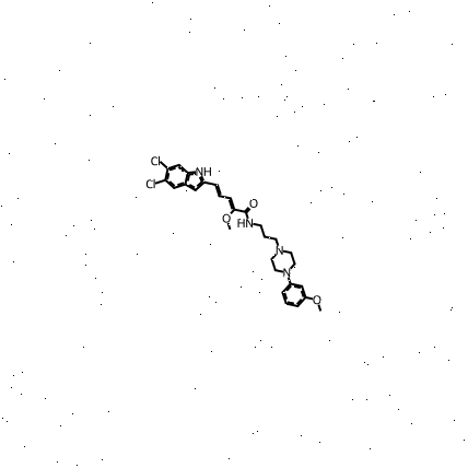 COC(=CC=Cc1cc2cc(Cl)c(Cl)cc2[nH]1)C(=O)NCCCN1CCN(c2cccc(OC)c2)CC1